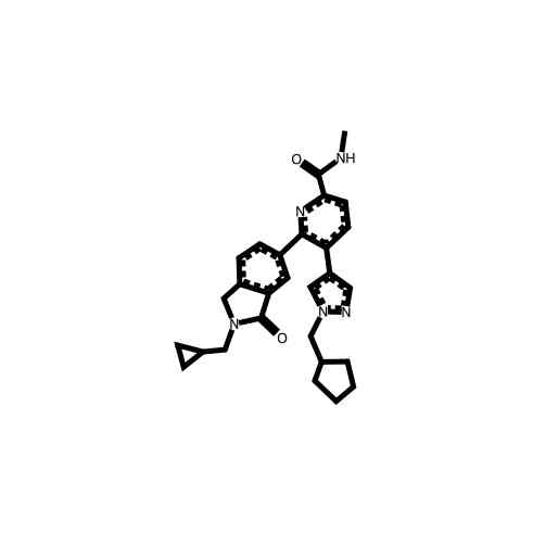 CNC(=O)c1ccc(-c2cnn(CC3CCCC3)c2)c(-c2ccc3c(c2)C(=O)N(CC2CC2)C3)n1